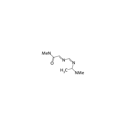 CNC(=O)/C=N/C=N\C(C)NC